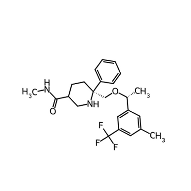 CNC(=O)C1CC[C@@](CO[C@H](C)c2cc(C)cc(C(F)(F)F)c2)(c2ccccc2)NC1